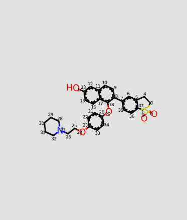 O=S1(=O)CCc2cc(-c3ccc4cc(O)ccc4c3Oc3ccc(OCCN4CCCCC4)cc3)ccc21